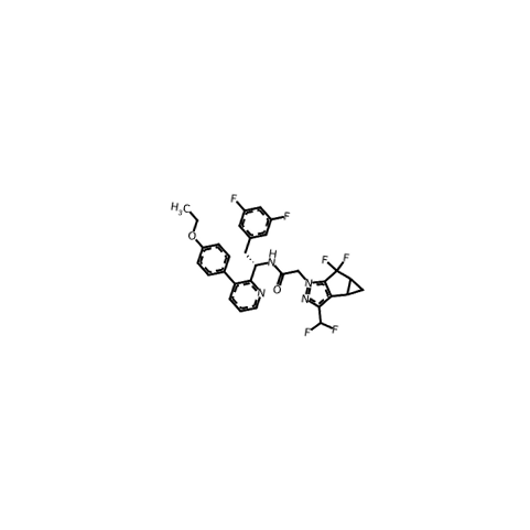 CCOc1ccc(-c2cccnc2[C@H](Cc2cc(F)cc(F)c2)NC(=O)Cn2nc(C(F)F)c3c2C(F)(F)C2CC32)cc1